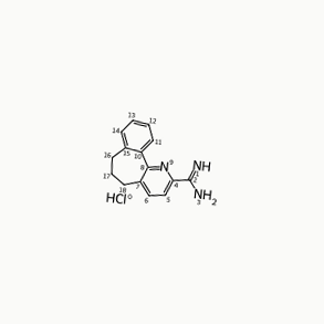 Cl.N=C(N)c1ccc2c(n1)-c1ccccc1CCC2